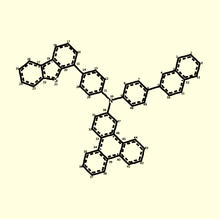 c1ccc2cc(-c3ccc(N(c4ccc(-c5cccc6c5sc5ccccc56)cc4)c4ccc5c6ccccc6c6ccccc6c5c4)cc3)ccc2c1